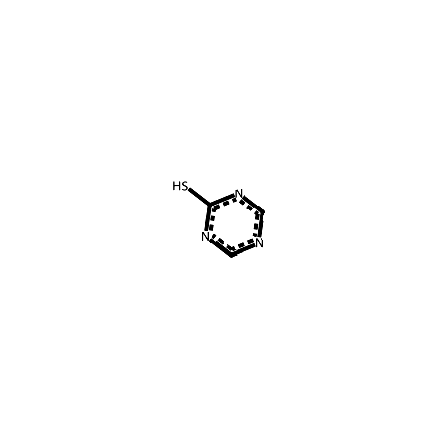 Sc1ncncn1